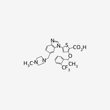 C[C@@H](Oc1cc(-n2cnc3ccc(CN4CCN(C)CC4)cc32)sc1C(=O)O)c1ccccc1C(F)(F)F